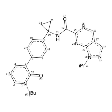 CC[C@@H](C)n1cncc(-c2ccc(C3(NC(=O)c4ncc5cnn(C(C)C)c5n4)CC3)cc2)c1=O